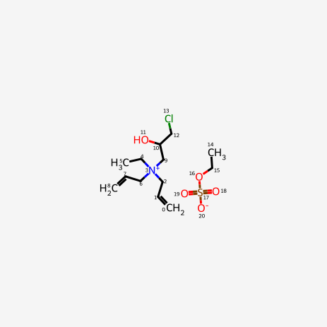 C=CC[N+](CC)(CC=C)CC(O)CCl.CCOS(=O)(=O)[O-]